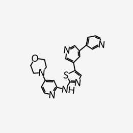 c1cncc(-c2cncc(-c3cnc(Nc4cc(N5CCOCC5)ccn4)s3)c2)c1